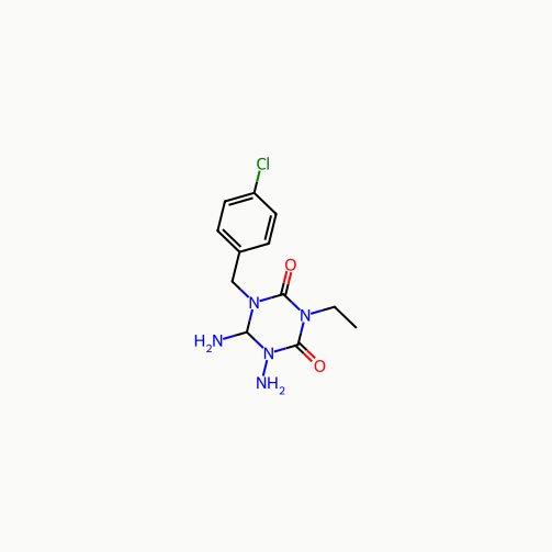 CCN1C(=O)N(N)C(N)N(Cc2ccc(Cl)cc2)C1=O